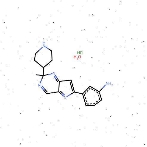 CC1(C2CCNCC2)N=CC2=NC(c3cccc(N)c3)=CC2=N1.Cl.O